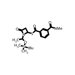 CNC(=O)c1cccc(C(=O)SC2CC(=O)N2C(C)O[Si](C)(C)C(C)(C)C)c1